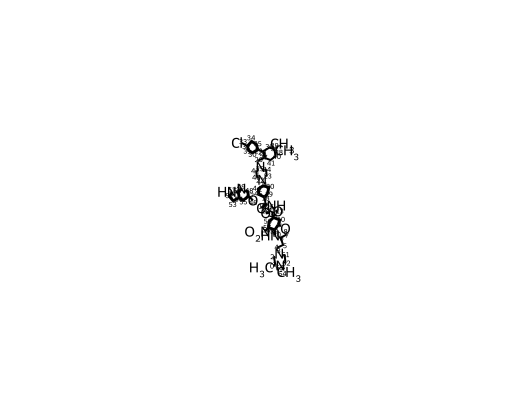 CC1CN(CCC2COc3cc(S(=O)(=O)NC(=O)c4ccc(N5CCN(CC6=C(c7ccc(Cl)cc7)CC(C)(C)CC6)CC5)cc4Oc4cnc5[nH]ccc5c4)cc([N+](=O)[O-])c3N2)CCN1C